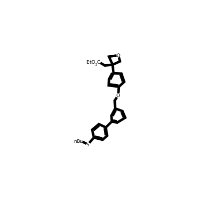 CCCCSc1ccc(-c2cccc(COc3ccc(C4(CC(=O)OCC)COC4)cc3)c2)cc1